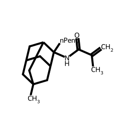 C=C(C)C(=O)NC1(CCCCC)C2CC3CC1CC(C)(C3)C2